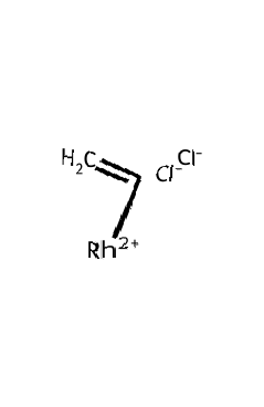 C=[CH][Rh+2].[Cl-].[Cl-]